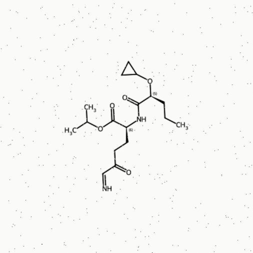 CCC[C@H](OC1CC1)C(=O)N[C@@H](CCC(=O)C=N)C(=O)OC(C)C